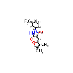 Cc1coc(C=C2C(=O)NN(c3cccc(C(F)(F)F)c3)C2=O)c1C